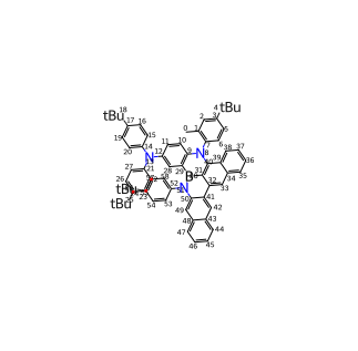 Cc1cc(C(C)(C)C)ccc1N1c2ccc(N(c3ccc(C(C)(C)C)cc3)c3ccc(C(C)(C)C)cc3)cc2B2c3c(cc4ccccc4c31)-c1cc3ccccc3cc1N2c1ccc(C(C)(C)C)cc1